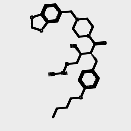 CCCCOc1ccc(C[C@@H](C(=O)N2CCN(Cc3ccc4c(c3)OCO4)CC2)[C@H](O)CONO)cc1